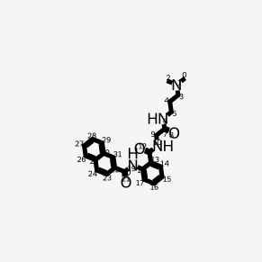 CN(C)CCCNC(=O)CNC(=O)c1ccccc1NC(=O)c1ccc2ccccc2c1